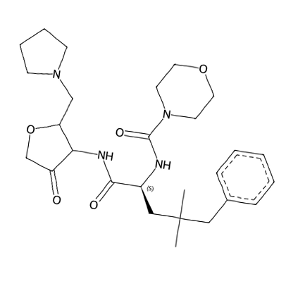 CC(C)(Cc1ccccc1)C[C@H](NC(=O)N1CCOCC1)C(=O)NC1C(=O)COC1CN1CCCC1